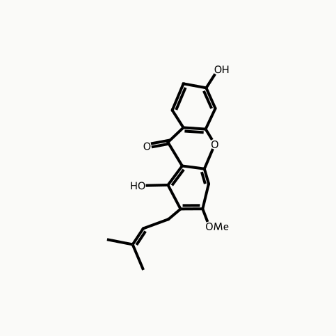 COc1cc2oc3cc(O)ccc3c(=O)c2c(O)c1CC=C(C)C